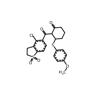 COc1ccc(SC2CCCC(=O)C2C(=O)c2ccc3c(c2Cl)CCS3(=O)=O)cc1